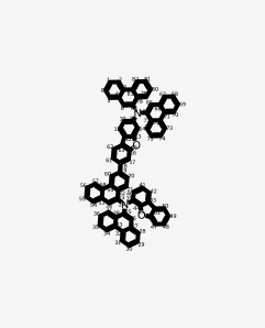 c1ccc2c(c1)cc(N(c1ccc3c(c1)oc1cc(-c4ccc5c(N(c6cc7ccccc7c7ccccc67)c6cccc7c6oc6ccccc67)cc6ccccc6c5c4)ccc13)c1cc3ccccc3c3ccccc13)c1ccccc12